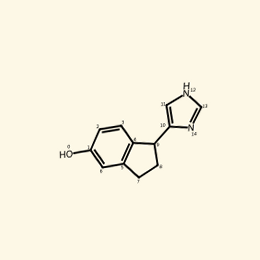 Oc1ccc2c(c1)CCC2c1c[nH]cn1